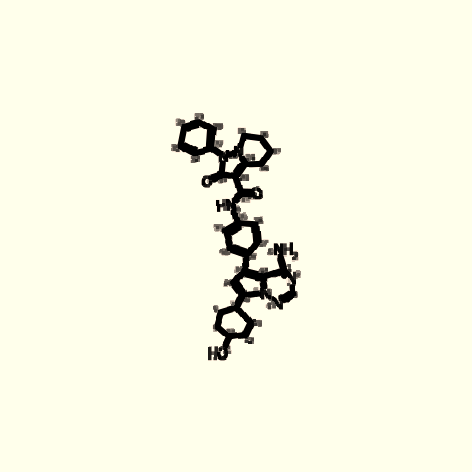 Nc1ncnn2c(C3CCC(O)CC3)cc(-c3ccc(NC(=O)c4c5n(n(-c6ccccc6)c4=O)CCCC5)cc3)c12